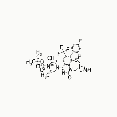 C[C@@H]1CN(c2nc(=O)n3c4c(c(-c5ccc(F)cc5F)c(C(F)(F)F)cc24)SCC2(CNC2)C3)C[C@H](C)N1C(=O)OC(C)(C)C